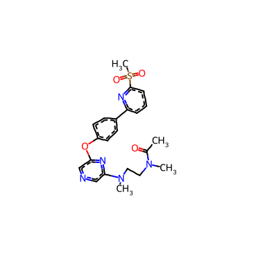 CC(=O)N(C)CCN(C)c1cncc(Oc2ccc(-c3cccc(S(C)(=O)=O)n3)cc2)n1